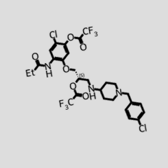 CCC(=O)Nc1cc(Cl)c(OC(=O)C(F)(F)F)cc1OC[C@H](CNC1CCN(Cc2ccc(Cl)cc2)CC1)OC(=O)C(F)(F)F